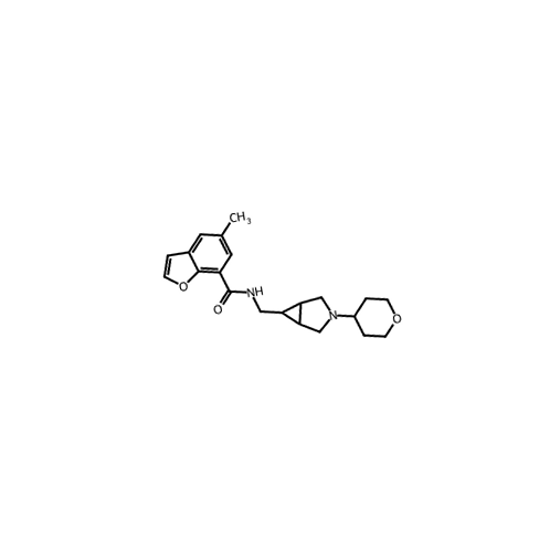 Cc1cc(C(=O)NCC2C3CN(C4CCOCC4)CC23)c2occc2c1